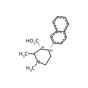 CC1[C@H](C(=O)O)[C@H](c2ccc3ccccc3c2)CCN1C